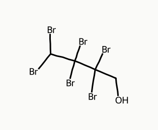 OCC(Br)(Br)C(Br)(Br)C(Br)Br